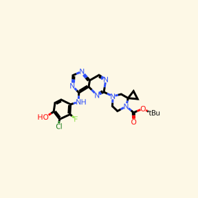 CC(C)(C)OC(=O)N1CCN(c2ncc3ncnc(Nc4ccc(O)c(Cl)c4F)c3n2)CC12CC2